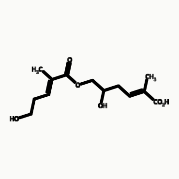 CC(=CCC(O)COC(=O)C(C)=CCCO)C(=O)O